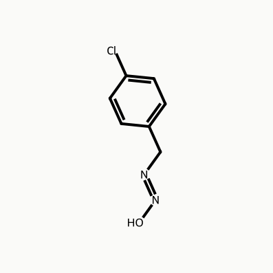 ON=NCc1ccc(Cl)cc1